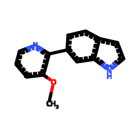 COc1[c]ccnc1-c1ccc2cc[nH]c2c1